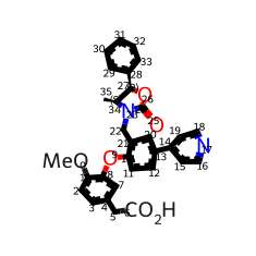 COc1ccc(CC(=O)O)cc1Oc1ccc(-c2ccncc2)cc1CN1C(=O)O[C@H](c2ccccc2)[C@@H]1C